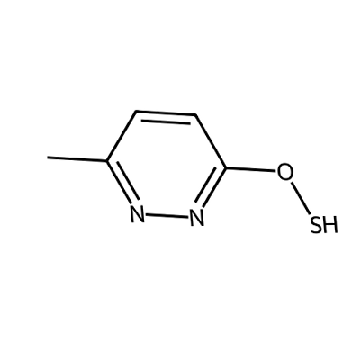 Cc1ccc(OS)nn1